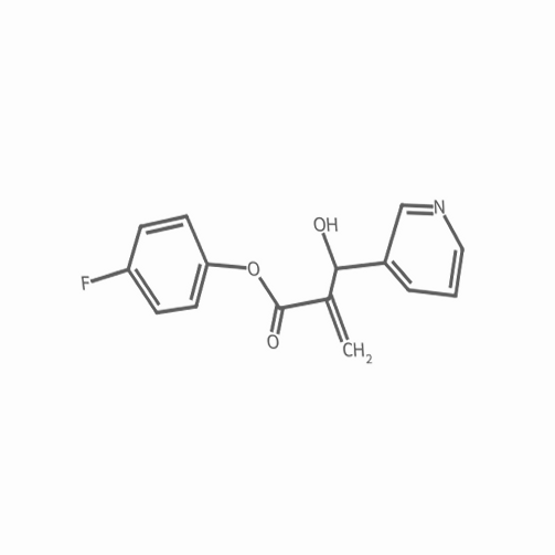 C=C(C(=O)Oc1ccc(F)cc1)C(O)c1cccnc1